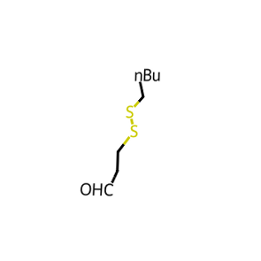 CCCCCSSCCC=O